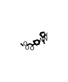 CCOC(=O)CC(=O)c1ccc(-n2c(C)nc3ncccc32)cc1